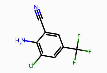 N#Cc1cc(C(F)(F)F)cc(Cl)c1N